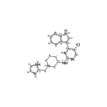 Clc1cnc(NC2CCCN(Cc3ncc[nH]3)C2)nc1-c1c[nH]c2ccccc12